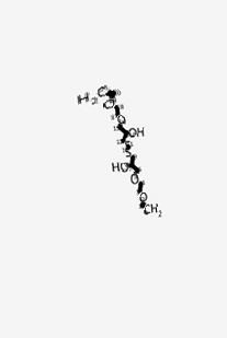 C=COCCOCC(O)CSSCC(O)COCCOC=C